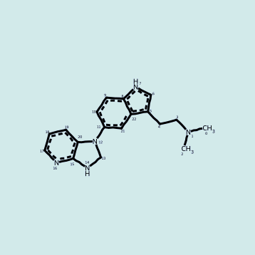 CN(C)CCc1c[nH]c2ccc(N3CNc4ncccc43)cc12